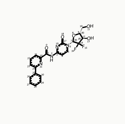 O=C(Nc1ccn([C@@H]2O[C@H](CO)[C@@H](O)C2(F)F)c(=O)n1)c1cccc(-c2ccccc2)n1